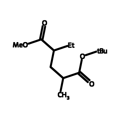 CCC(CC(C)C(=O)OC(C)(C)C)C(=O)OC